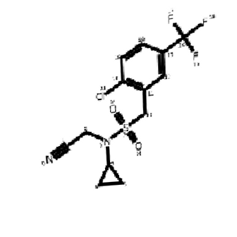 N#CCN(C1CC1)S(=O)(=O)Cc1cc(C(F)(F)F)ccc1Cl